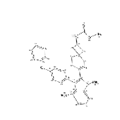 Cn1c(C2=CCC3(CC2)CC(NC(=O)OC(C)(C)C)C3)c(-c2ccc(Oc3ncccn3)cc2)c2c(N)ncnc21